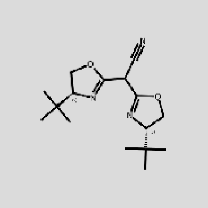 CC(C)(C)[C@H]1COC(C(C#N)C2=N[C@@H](C(C)(C)C)CO2)=N1